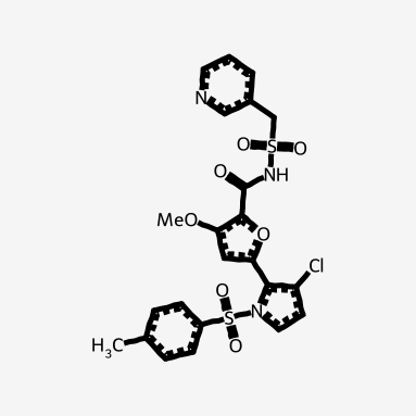 COc1cc(-c2c(Cl)ccn2S(=O)(=O)c2ccc(C)cc2)oc1C(=O)NS(=O)(=O)Cc1cccnc1